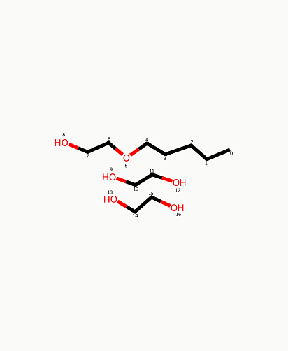 CCCCCOCCO.OCCO.OCCO